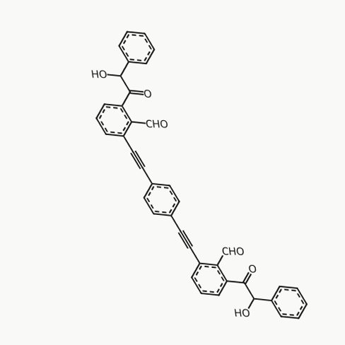 O=Cc1c(C#Cc2ccc(C#Cc3cccc(C(=O)C(O)c4ccccc4)c3C=O)cc2)cccc1C(=O)C(O)c1ccccc1